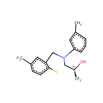 Cc1cccc(N(Cc2cc(C(F)(F)F)ccc2F)C[C@@H](O)C(F)(F)F)c1